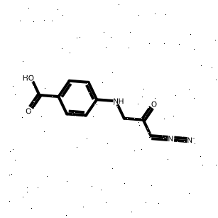 [N-]=[N+]=CC(=O)CNc1ccc(C(=O)O)cc1